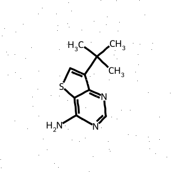 CC(C)(C)c1csc2c(N)ncnc12